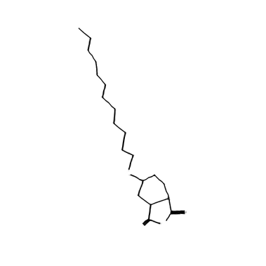 CCCCCCCCCCCCSC1CCC2C(=O)OC(=O)C2C1